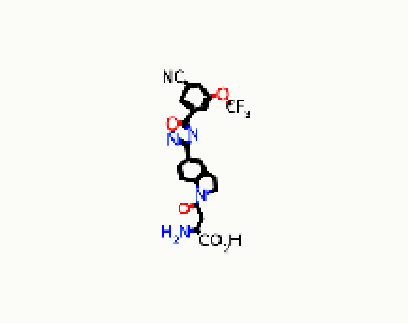 N#Cc1cc(OC(F)(F)F)cc(-c2nc(-c3ccc4c(c3)CCN4C(=O)CC(N)C(=O)O)no2)c1